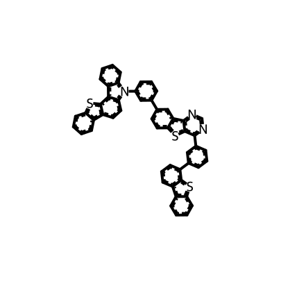 c1cc(-c2cccc3c2sc2ccccc23)cc(-c2ncnc3c2sc2ccc(-c4cccc(-n5c6ccccc6c6c7sc8ccccc8c7ccc65)c4)cc23)c1